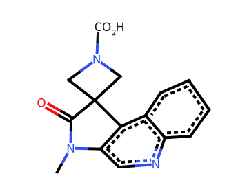 CN1C(=O)C2(CN(C(=O)O)C2)c2c1cnc1ccccc21